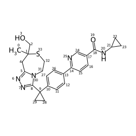 CC1(CO)Cc2nnc(C3(c4ccc(-c5ccc(C(=O)NC6CC6)cn5)cc4)CC3)n2CCS1